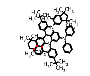 Cc1cc2c(cc1N1c3cc(C(C)(C)C)ccc3C3c4cc5c(cc4N(c4ccc(C(C)(C)C)cc4-c4ccccc4)c4cc(N(c6ccccc6)c6ccccc6)cc1c43)C(C)(C)CCC5(C)C)C(C)(C)CC2(C)C